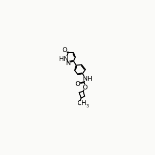 CC1CC(OC(=O)Nc2ccc(-c3ccc(=O)[nH]n3)cc2)C1